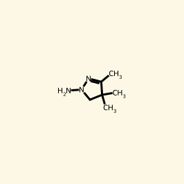 CC1=NN(N)CC1(C)C